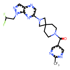 O=C(c1cnc(C(F)(F)F)nc1)N1CCC2(CC1)CN(c1cnc3cnn(CC(F)F)c3n1)C2